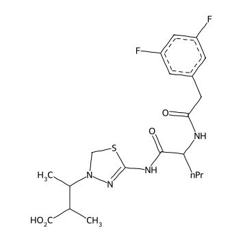 CCCC(NC(=O)Cc1cc(F)cc(F)c1)C(=O)NC1=NN(C(C)C(C)C(=O)O)CS1